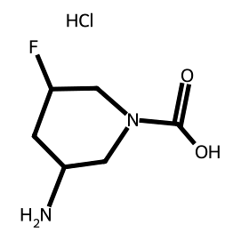 Cl.NC1CC(F)CN(C(=O)O)C1